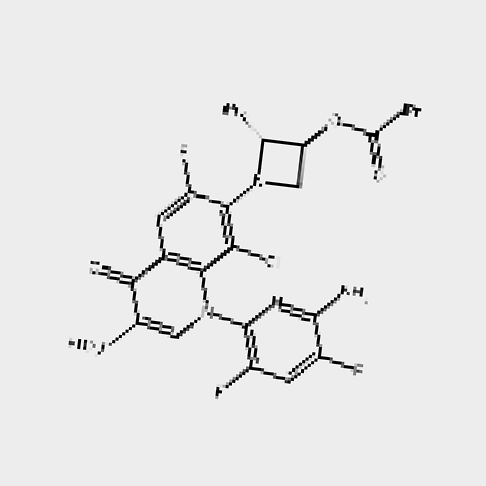 CCC[C@@H]1C(OC(=O)C(C)C)CN1c1c(F)cc2c(=O)c(C(=O)OCC)cn(-c3nc(N)c(F)cc3F)c2c1Cl